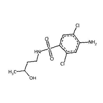 CC(O)CCNS(=O)(=O)c1cc(Cl)c(N)cc1Cl